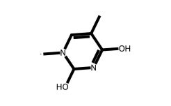 [CH2]N1C=C(C)C(O)=NC1O